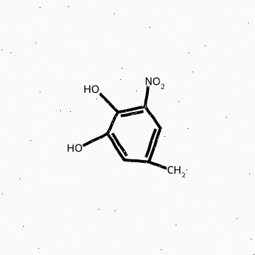 [CH2]c1cc(O)c(O)c([N+](=O)[O-])c1